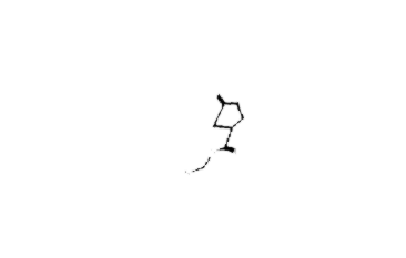 NCNC(=O)C1CCC(=O)C1